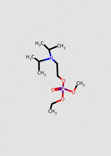 CCOP(=O)(OC)OCCN(C(C)C)C(C)C